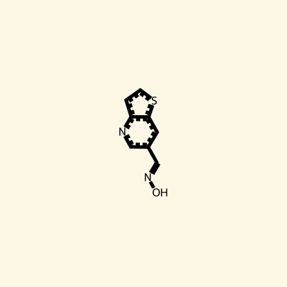 ON=Cc1cnc2ccsc2c1